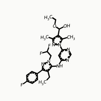 CCOC(O)c1c(C)nn(-c2cc(Nc3c(CC)c(-c4ccc(F)cc4)nn3CC(F)F)ncn2)c1C